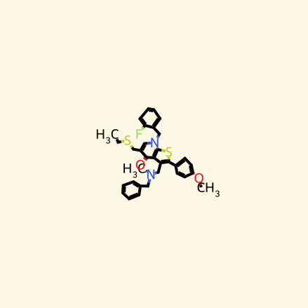 CCSCc1cn(Cc2ccccc2F)c2sc(-c3ccc(OC)cc3)c(CN(C)Cc3ccccc3)c2c1=O